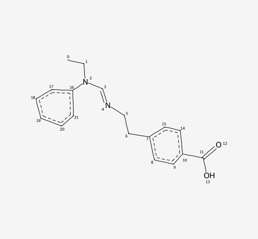 CCN(C=NCCc1ccc(C(=O)O)cc1)c1ccccc1